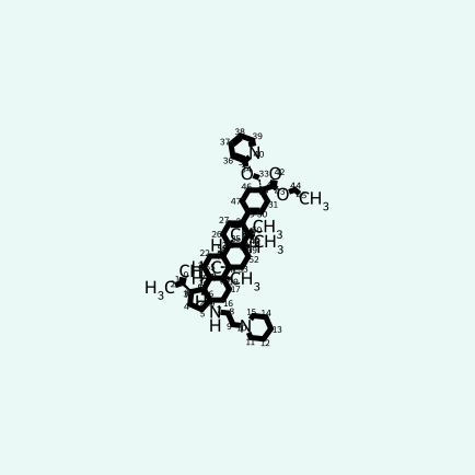 C=C(C)[C@@H]1CC[C@]2(NCCN3CCCCC3)CC[C@]3(C)[C@H](CC[C@@H]4[C@@]5(C)CC=C(C6=CC[C@](COc7ccccn7)(C(=O)OCC)CC6)C(C)(C)[C@@H]5CC[C@]43C)[C@@H]12